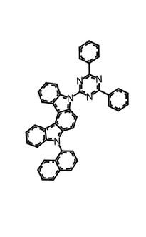 c1ccc(-c2nc(-c3ccccc3)nc(-n3c4ccccc4c4c5c6ccccc6n(-c6cccc7ccccc67)c5ccc43)n2)cc1